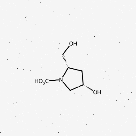 O=C(O)N1C[C@@H](O)C[C@H]1CO